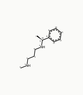 CNCCCN[C@@H](C)c1ccccc1